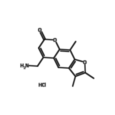 Cc1oc2c(C)c3oc(=O)cc(CN)c3cc2c1C.Cl